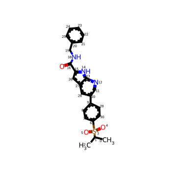 CC(C)S(=O)(=O)c1ccc(-c2cnc3[nH]c(C(=O)NCc4ccccc4)cc3c2)cc1